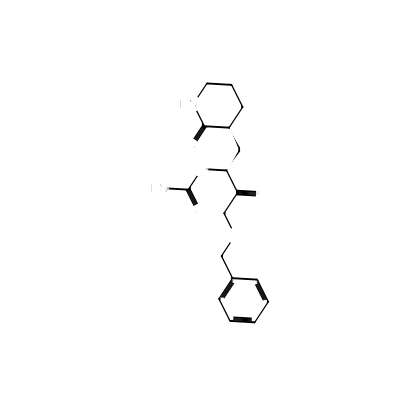 NC(=O)O[C@@H](C[C@@H]1CCCNC1=O)C(=O)COCc1ccccc1